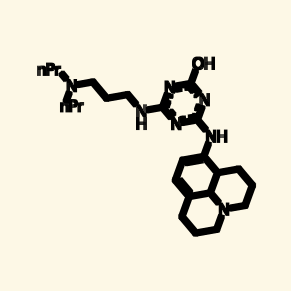 CCCN(CCC)CCCNc1nc(O)nc(NC2=CC=C3CCCN4CCCC2C34)n1